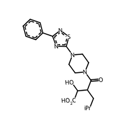 CC(C)CC(C(=O)N1CCN(c2nc(-c3ccccc3)ns2)CC1)C(O)C(=O)O